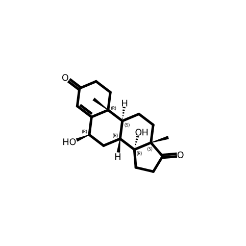 C[C@]12CCC(=O)C=C1[C@H](O)C[C@@H]1[C@@H]2CC[C@]2(C)C(=O)CC[C@@]12O